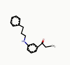 [CH2]CC(=O)c1cccc(NCCCc2ccccc2)c1